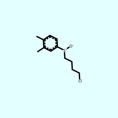 Cc1ccc([S+]([O-])CCCCCl)cc1C